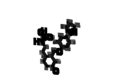 O=C1CCC(CCN[SH](=O)=O)C(COc2ccc(-n3cccn3)cc2)C1